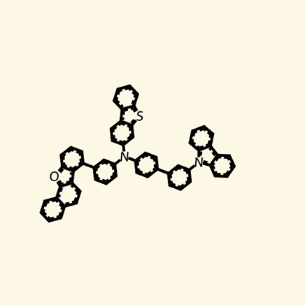 c1cc(-c2cccc3oc4c5ccccc5ccc4c23)cc(N(c2ccc(-c3cccc(-n4c5ccccc5c5ccccc54)c3)cc2)c2ccc3c(c2)sc2ccccc23)c1